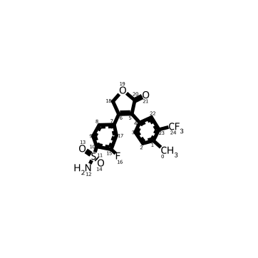 Cc1ccc(C2=C(c3ccc(S(N)(=O)=O)c(F)c3)COC2=O)cc1C(F)(F)F